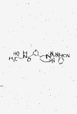 C[C@H](O)CNC(=O)c1cccc(-c2ccc3nc(Nc4ccccc4C#N)nn3c2)c1